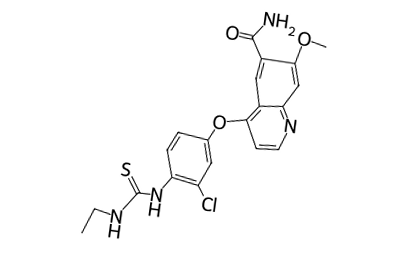 CCNC(=S)Nc1ccc(Oc2ccnc3cc(OC)c(C(N)=O)cc23)cc1Cl